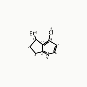 CCC1CCc2nccc(Cl)c21